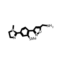 CSc1cc(C2=NCCN2C)ccc1-c1cc(CN)on1